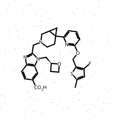 Cc1cc(F)c(COc2cccc(C34CCN(Cc5nc6ccc(C(=O)O)cc6n5C[C@@H]5CCO5)CC3C4)n2)s1